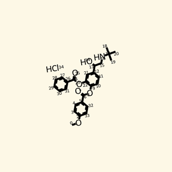 COc1ccc(C(=O)Oc2ccc(C(O)CNC(C)(C)C)cc2OC(=O)c2ccccc2)cc1.Cl